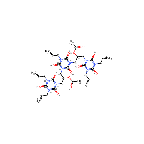 C=CCn1c(=O)n(CC=C)c(=O)n(CC(Cn2c(=O)n(CC=C)c(=O)n(CC(Cn3c(=O)n(CC=C)c(=O)n(CC=C)c3=O)OC(C)=O)c2=O)OC(C)=O)c1=O